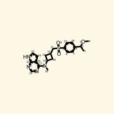 COC(C)c1ccc(S(=O)(=O)CC2CC(N(C)c3ncnc4[nH]ccc34)C2)cc1